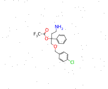 NCCC(COCc1ccc(Cl)cc1)(OC(=O)C(F)(F)F)c1ccccc1